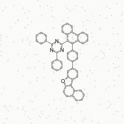 c1ccc(-c2nc(-c3ccccc3)nc(-c3c(-c4ccc(-c5ccc6c(c5)oc5ccc7ccccc7c56)cc4)c4ccccc4c4ccccc34)n2)cc1